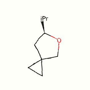 CC(C)[C@@H]1CC2(CC2)CO1